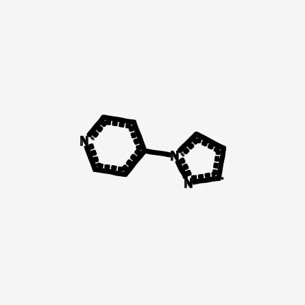 [c]1ccn(-c2ccncc2)n1